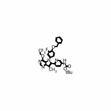 Cc1c(-c2ccc(NC(=O)OC(C)(C)C)cn2)n(-c2ccc(OCc3ccccc3)c(F)c2)c2c(OCC(F)(F)F)ncnc12